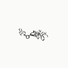 Cc1ccccc1NC(=O)Oc1ncc(Oc2ccc(Cl)c(Cl)c2)cn1